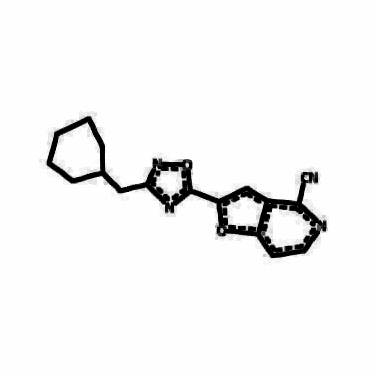 N#Cc1nccc2oc(-c3nc(CC4CCCCC4)no3)cc12